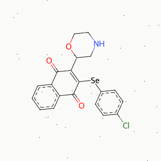 O=C1C([Se]c2ccc(Cl)cc2)=C(C2CNCCO2)C(=O)c2ccccc21